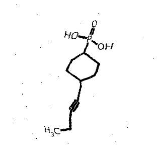 CCC#CC1CCC(P(=O)(O)O)CC1